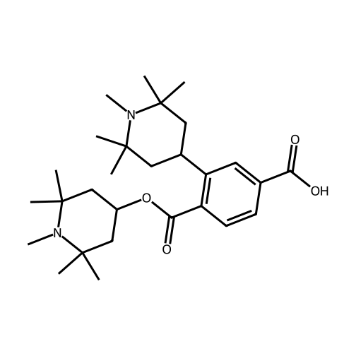 CN1C(C)(C)CC(OC(=O)c2ccc(C(=O)O)cc2C2CC(C)(C)N(C)C(C)(C)C2)CC1(C)C